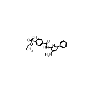 CCOP(=O)(O)c1ccc(C(=O)Nc2nn(-c3ccccc3)cc2N)cc1